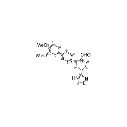 COc1ccc(-c2ccc(C3CC(c4ncc[nH]4)CCN3C=O)cc2)cc1OC